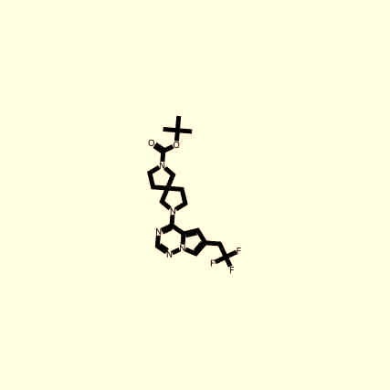 CC(C)(C)OC(=O)N1CCC2(CCN(c3ncnn4cc(CC(F)(F)F)cc34)C2)C1